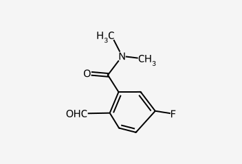 CN(C)C(=O)c1cc(F)ccc1C=O